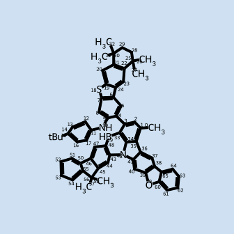 Cc1cc(-c2cc3c(cc2Nc2ccc(C(C)(C)C)cc2)sc2cc4c(cc23)C(C)(C)CCC4(C)C)c2c3c1c1cc4c(cc1n3-c1cc3c(cc1B2)-c1ccccc1C3(C)C)oc1ccccc14